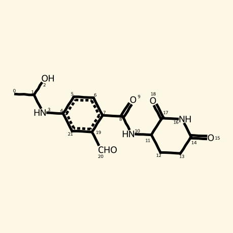 CC(O)Nc1ccc(C(=O)NC2CCC(=O)NC2=O)c(C=O)c1